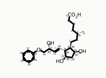 C[C@@H](CCCC(=O)O)CC[C@@H]1[C@@H](/C=C/[C@@H](O)COc2ccccc2)[C@H](O)C[C@@H]1O